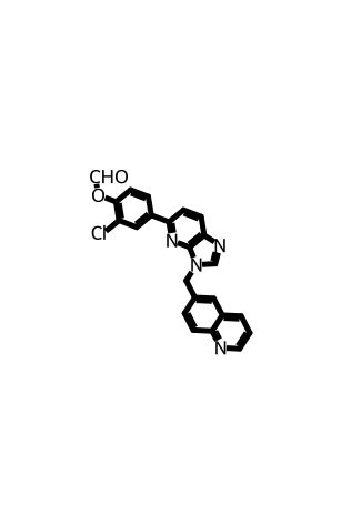 O=COc1ccc(-c2ccc3ncn(Cc4ccc5ncccc5c4)c3n2)cc1Cl